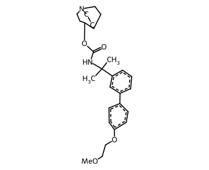 COCCOc1ccc(-c2cccc(C(C)(C)NC(=O)OC3CCN4CCC3CC4)c2)cc1